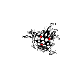 CC1(C)Oc2c(c([C](c3c4c(c(C(=O)N(CCO)CCO)c5c3SC(C)(C)O5)OC(C)(C)S4)c3c4c(c(C(=O)N(CCO)CCO)c5c3SC(C)(C)O5)OC(C)(C)S4)c3c(c2C(=O)N(CCO)CCO)OC(C)(C)S3)S1